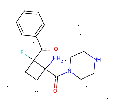 NC1(C(=O)N2CCNCC2)CCC1(F)C(=O)c1ccccc1